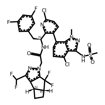 Cn1nc(NS(C)(=O)=O)c2c(Cl)ccc(-c3ccc(Cl)nc3[C@H](Cc3cc(F)cc(F)c3)NC(=O)Cn3nc(C(F)F)c4c3C(F)(F)[C@@H]3CC[C@H]43)c21